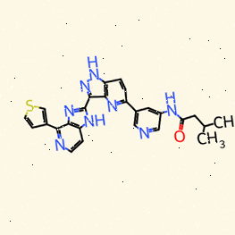 CC(C)CC(=O)Nc1cncc(-c2ccc3[nH]nc(-c4nc5c(-c6ccsc6)nccc5[nH]4)c3n2)c1